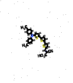 Cc1ccc(N(c2ccc(C)cc2)c2ccc(-c3ccc(-c4ccc(/C=C(\C#N)C(=O)O)s4)s3)s2)cc1